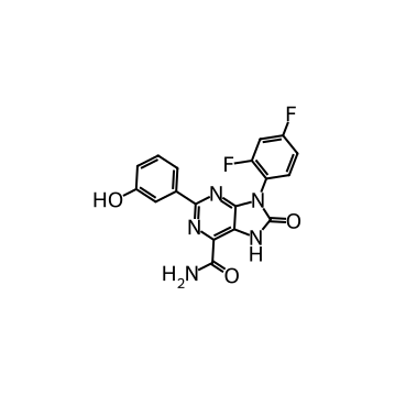 NC(=O)c1nc(-c2cccc(O)c2)nc2c1[nH]c(=O)n2-c1ccc(F)cc1F